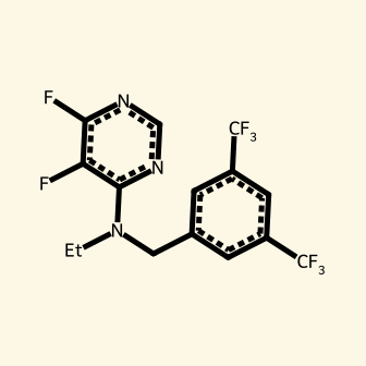 CCN(Cc1cc(C(F)(F)F)cc(C(F)(F)F)c1)c1ncnc(F)c1F